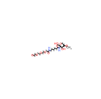 COC1C2COC(CO)[C@H](NC(=O)CCCCCNC(=O)COCCOCCOCC=O)C(O)C21